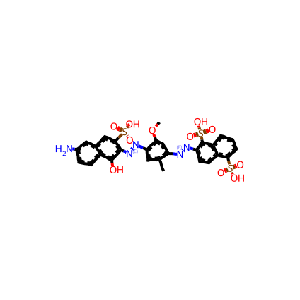 COc1cc(/N=N/c2ccc3c(S(=O)(=O)O)cccc3c2S(=O)(=O)O)c(C)cc1/N=N/c1c(S(=O)(=O)O)cc2cc(N)ccc2c1O